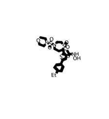 CCc1ccc(-c2ccc([C@@]3(CC(=O)NO)CCN(S(=O)(=O)N4CCOCC4)CCS3(=O)=O)s2)cc1